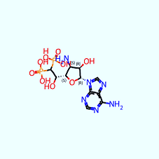 Nc1ncnc2c1ncn2[C@@H]1O[C@H](C(O)C(P(=O)(O)O)P(=O)(O)O)[C@@H](N)[C@H]1O